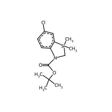 CC(C)(C)OC(=O)N1C[Si](C)(C)c2cc(Cl)ccc21